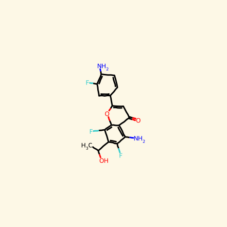 CC(O)c1c(F)c(N)c2c(=O)cc(-c3ccc(N)c(F)c3)oc2c1F